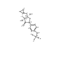 O=C1[C@H]2C[C@@]3(CO3)C[C@H]2CN1c1ccc(OC(F)(F)F)cc1